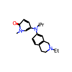 CCN1CCc2ccc(N(c3ccc(=O)n(C)c3)C(C)C)cc2C1